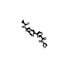 O=C(NC1CCOC1)c1nc(-c2cn3cc(NC(=O)C4CC4)nc3cn2)cs1